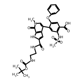 Cn1cc(-c2cc(NS(C)(=O)=O)c(C(=O)O)cc2Oc2ccccc2)c2cc(C(=O)NCCNC(=O)OC(C)(C)C)[nH]c2c1=O